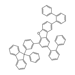 c1ccc(-c2ccccc2-c2ccc3oc4c(-c5cccc(C6(c7ccccc7)c7ccccc7-c7ccccc76)c5)cc(-c5ccccc5-c5ccccc5)cc4c3c2)cc1